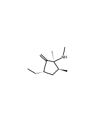 C=C1[C@@H](CC)C[C@H](C)[C@]1(C)NC